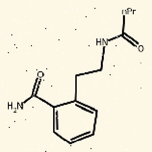 CCCC(=O)NCCc1ccccc1C(N)=O